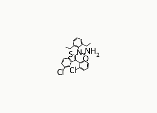 CCc1cccc(CC)c1N(C(N)=O)c1sc2ccc(Cl)cc2c1-c1ccccc1Cl